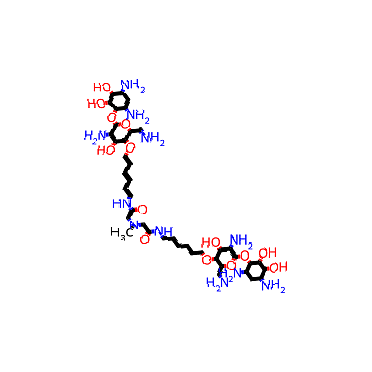 CN(CC(=O)NCCCCCCOC1C(CN)OC(OC2C(N)CC(N)C(O)C2O)C(N)C1O)CC(=O)NCCCCCCOC1C(CN)OC(OC2C(N)CC(N)C(O)C2O)C(N)C1O